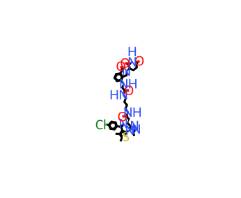 Cc1sc2c(c1C)C(c1ccc(Cl)cc1)=N[C@@H](CC(=O)NCCCCNC(=O)CNc1cccc3c1CN(C1CCC(=O)NC1=O)C3=O)c1nnc(C)n1-2